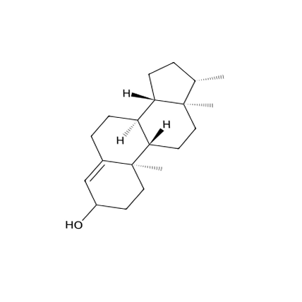 C[C@H]1CC[C@H]2[C@@H]3CCC4=CC(O)CC[C@]4(C)[C@H]3CC[C@]12C